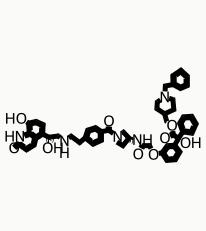 O=C(COc1cccc(C(O)(C(=O)OCC2CCN(Cc3ccccc3)CC2)c2ccccc2)c1)N[C@H]1CCN(C(=O)c2ccc(CCNC[C@H](O)c3ccc(O)c4[nH]c(=O)ccc34)cc2)C1